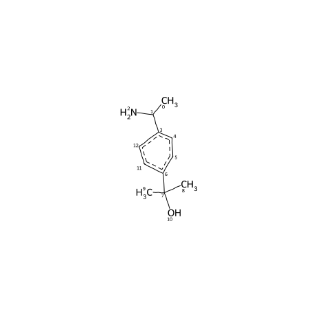 CC(N)c1ccc(C(C)(C)O)cc1